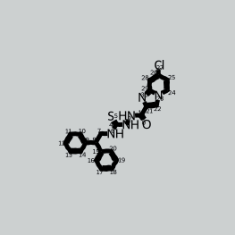 O=C(NNC(=S)NCC(c1ccccc1)c1ccccc1)c1cn2ccc(Cl)cc2n1